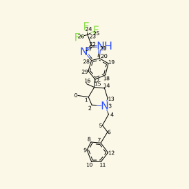 CC1CN(CCCc2ccccc2)CCC1(C)c1ccc2[nH]c(C(F)(F)F)nc2c1